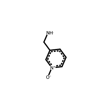 [NH]Cc1ccc[n+]([O-])c1